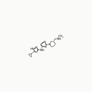 CNC[C@H]1CCCN(c2nccc(Nc3cc(C4CC4)[nH]n3)n2)C1